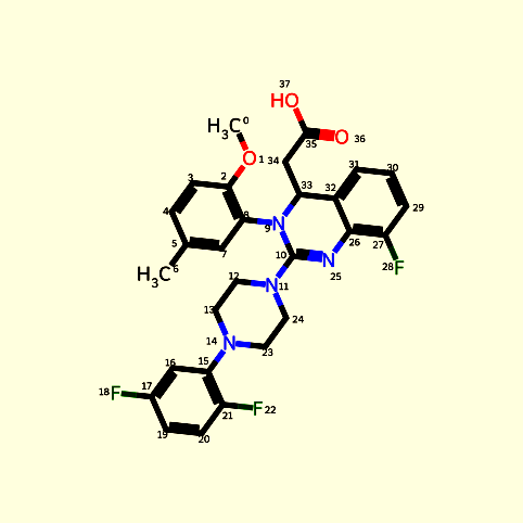 COc1ccc(C)cc1N1C(N2CCN(c3cc(F)ccc3F)CC2)=Nc2c(F)cccc2C1CC(=O)O